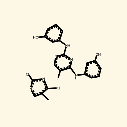 Fc1cnc(Cl)nc1Cl.Oc1cccc(Nc2ncc(F)c(Nc3cccc(O)c3)n2)c1